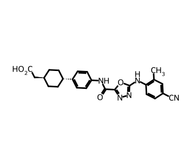 Cc1cc(C#N)ccc1Nc1nnc(C(=O)Nc2ccc([C@H]3CC[C@H](CC(=O)O)CC3)cc2)o1